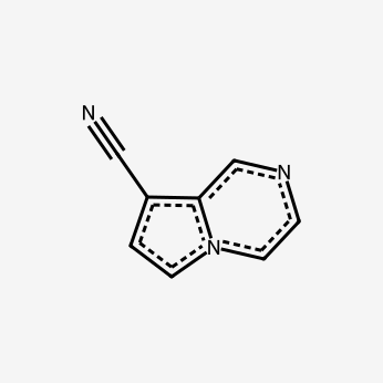 N#Cc1ccn2ccncc12